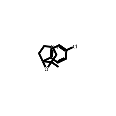 CC12CNCCC1(c1ccc(Cl)cc1)O2